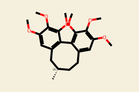 COc1cc2c(c(OC)c1OC)-c1c(cc(OC)c(OC)c1OC)C[C@@H](C)CC2